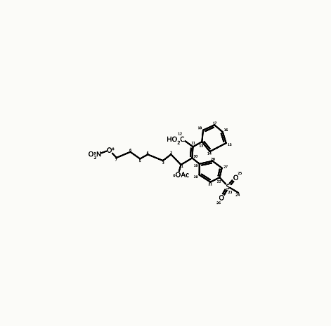 CC(=O)OC(CCCCCCO[N+](=O)[O-])C(=C(C(=O)O)c1ccccc1)c1ccc(S(C)(=O)=O)cc1